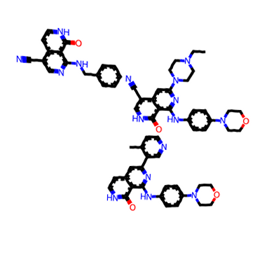 CCN1CCN(c2cc3c(C#N)c[nH]c(=O)c3c(Nc3ccc(N4CCOCC4)cc3)n2)CC1.Cc1ccncc1-c1cc2cc[nH]c(=O)c2c(Nc2ccc(N3CCOCC3)cc2)n1.N#Cc1cnc(NCc2ccccc2)c2c(=O)[nH]ccc12